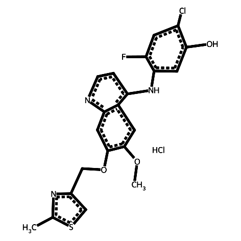 COc1cc2c(Nc3cc(O)c(Cl)cc3F)ccnc2cc1OCc1csc(C)n1.Cl